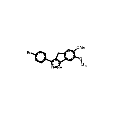 COc1cc2c(cc1OC(F)(F)F)-c1[nH]nc(-c3ccc(Br)cc3)c1C2